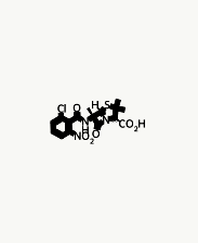 CC1(C)S[C@H]2N(C(=O)[C@]2(C)NC(=O)c2c(Cl)cccc2[N+](=O)[O-])[C@H]1C(=O)O